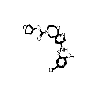 COc1ccc(Cl)cc1SNc1cnc2c(c1)CN(C(=O)OC1CCOC1)CCO2